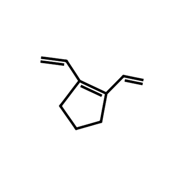 C=CC1=C(C=C)CCC1